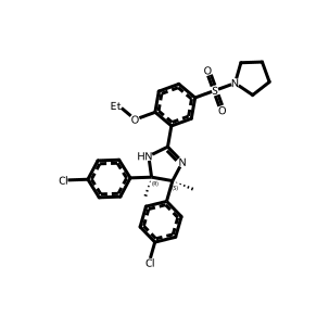 CCOc1ccc(S(=O)(=O)N2CCCC2)cc1C1=N[C@@](C)(c2ccc(Cl)cc2)[C@@](C)(c2ccc(Cl)cc2)N1